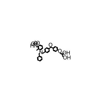 Cc1c(NS(C)(=O)=O)cccc1N(Cc1ccccc1)Cc1ccc(C(=O)c2ccc(OC[C@@H](O)CO)cc2)cc1